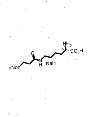 CCCCCCCCCCCC(=O)NCCCC[C@H](N)C(=O)O.[NaH]